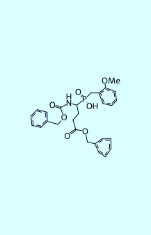 COc1ccccc1CP(=O)(O)C(CCC(=O)OCc1ccccc1)NC(=O)OCc1ccccc1